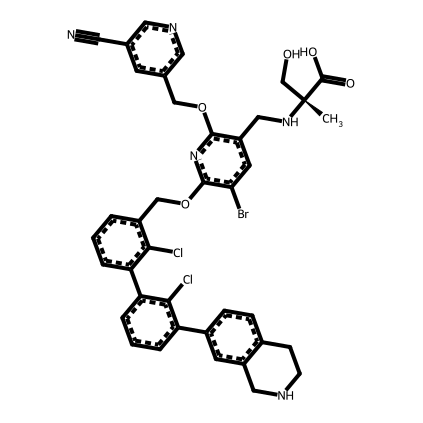 C[C@](CO)(NCc1cc(Br)c(OCc2cccc(-c3cccc(-c4ccc5c(c4)CNCC5)c3Cl)c2Cl)nc1OCc1cncc(C#N)c1)C(=O)O